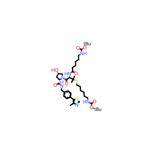 Cc1ncsc1-c1ccc(CNC(=O)[C@@H]2C[C@@H](O)CN2C(=O)[C@@H](NC(=O)CCCCCNC(=O)OC(C)(C)C)C(C)(C)SCCCCCCNC(=O)OC(C)(C)C)cc1